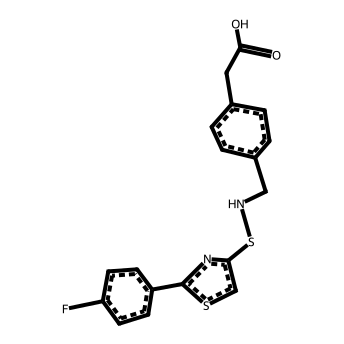 O=C(O)Cc1ccc(CNSc2csc(-c3ccc(F)cc3)n2)cc1